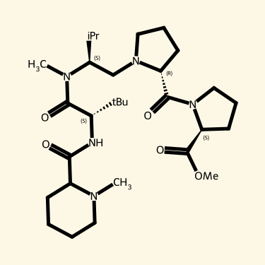 COC(=O)[C@@H]1CCCN1C(=O)[C@H]1CCCN1C[C@H](C(C)C)N(C)C(=O)[C@@H](NC(=O)C1CCCCN1C)C(C)(C)C